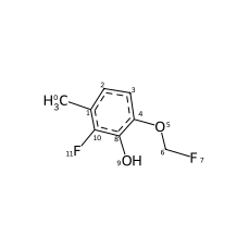 Cc1ccc(OCF)c(O)c1F